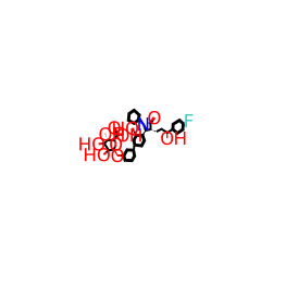 O=C(O)C1O[C@@H](Oc2cccc(-c3ccc([C@@H]4[C@@H](CC[C@H](O)c5ccc(F)cc5)C(=O)N4c4ccccc4)c(O)c3)c2)C(O)C(O)[C@@H]1O